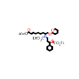 CCOC(=O)OC(CCN(C(=O)OCC)C(CCCCC=CC(=O)OC)COC1CCCCO1)C1CCCCC1